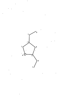 CCC1COC(CC)C1